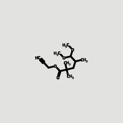 C#CCOC(=O)C(C)(C)CC(C)C(OC)OC